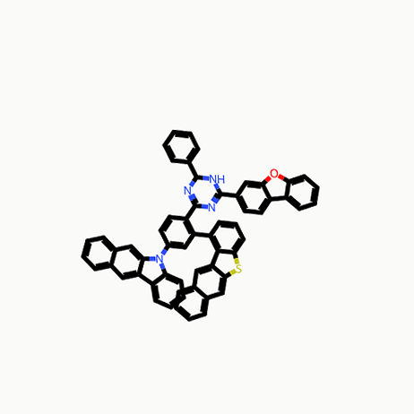 c1ccc(C2N=C(c3ccc(-n4c5ccccc5c5cc6ccccc6cc54)cc3-c3cccc4sc5cc6ccccc6cc5c34)N=C(c3ccc4c(c3)oc3ccccc34)N2)cc1